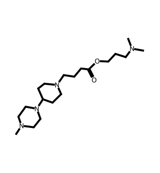 CN(C)CCCOC(=O)CCCN1CCC(N2CCN(C)CC2)CC1